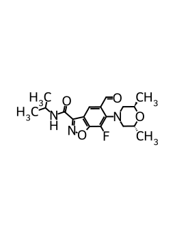 CC(C)NC(=O)c1noc2c(F)c(N3C[C@@H](C)O[C@H](C)C3)c(C=O)cc12